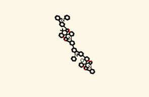 CC1(C)c2ccccc2C2(c3ccccc3-n3c4ccc(-c5ccc6c(c5)c5ccc(-c7cccc8c7Oc7ccccc7C87c8ccccc8-n8c9ccccc9c9cccc7c98)cc5n6-c5ccccc5)cc4c4cccc2c43)c2cccc(-c3ccc4c5ccccc5n(-c5ccccc5)c4c3)c21